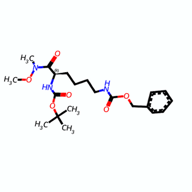 CON(C)C(=O)[C@@H](CCCCNC(=O)OCc1ccccc1)NC(=O)OC(C)(C)C